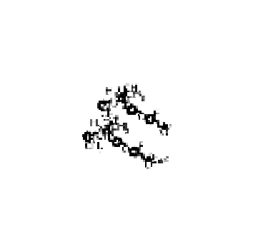 Cc1cccc(COc2cc(C(C)(C)C)nn2Cc2ccc(COc3ccc(CCC(=O)[O-])c(F)c3)cc2)n1.Cc1cccc(COc2cc(C(C)(C)C)nn2Cc2ccc(COc3ccc(CCC(=O)[O-])c(F)c3)cc2)n1.[Ca+2]